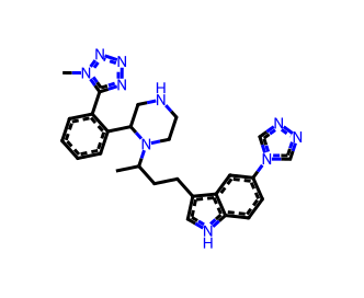 CC(CCc1c[nH]c2ccc(-n3cnnc3)cc12)N1CCNCC1c1ccccc1-c1nnnn1C